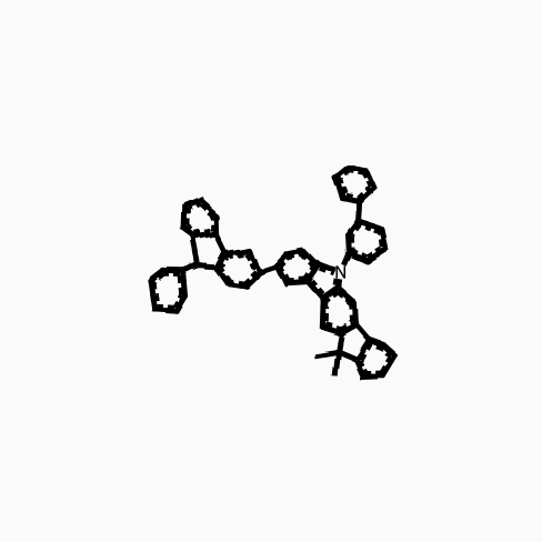 CC1(C)c2ccccc2-c2cc3c(cc21)c1cc(-c2ccc4c(c2)-c2ccccc2C4c2ccccc2)ccc1n3-c1cccc(-c2ccccc2)c1